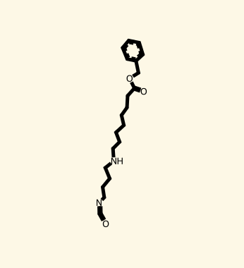 O=C=NCCCCNCCCCCCCC(=O)OCc1ccccc1